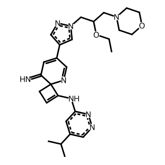 CCOC(CN1CCOCC1)Cn1cc(C2=CC(=N)C3(CC=C3Nc3cc(C(C)C)cnn3)N=C2)cn1